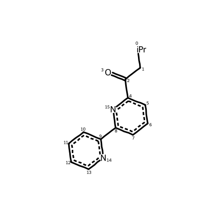 CC(C)CC(=O)c1cccc(-c2ccccn2)n1